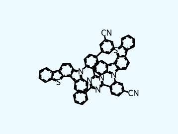 N#Cc1cccc(-c2ccc(-n3c4ccccc4c4c5sc6ccccc6c5ccc43)c(-c3nc(-c4ccccc4)nc(-c4ccc(C#N)cc4-n4c5ccccc5c5c6sc7ccccc7c6ccc54)n3)c2)c1